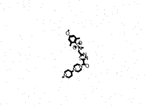 COc1cc(C)c(S(=O)(=O)N(C)Cc2nnc(C(=O)N3CCN(C4CCN(C)CC4)CC3)s2)c(C)c1